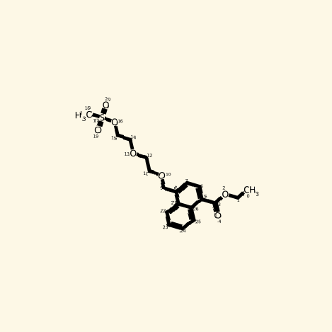 CCOC(=O)c1ccc(COCCOCCOS(C)(=O)=O)c2ccccc12